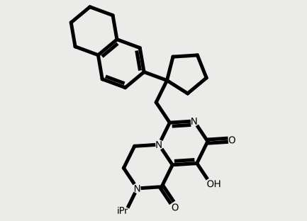 CC(C)N1CCn2c(CC3(c4ccc5c(c4)CCCC5)CCCC3)nc(=O)c(O)c2C1=O